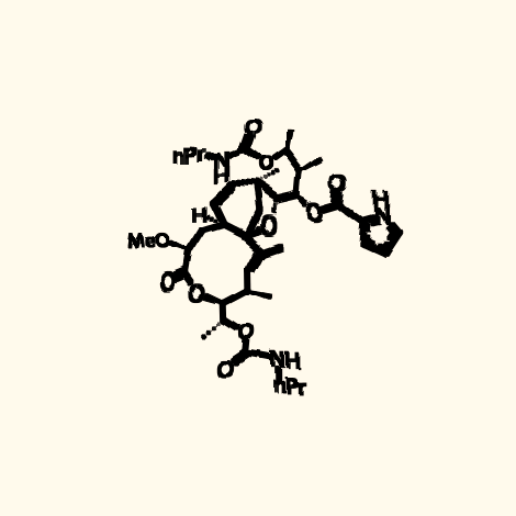 CCCNC(=O)O[C@@H](C)[C@@H](C)[C@@H](OC(=O)c1ccc[nH]1)[C@@H]1O[C@]23C[C@@]1(C)C=C[C@@H]2C[C@H](OC)C(=O)O[C@H]([C@@H](C)OC(=O)NCCC)[C@H](C)/C=C/3C